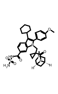 COc1ccc(-c2c(C3CCCCC3)c3ccc(C(=O)NS(N)(=O)=O)cc3n2CC2(C(=O)N3[C@@H]4C[C@H]3CN(C)C4)CC2)cc1